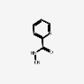 N#CNC(=O)c1ccccn1